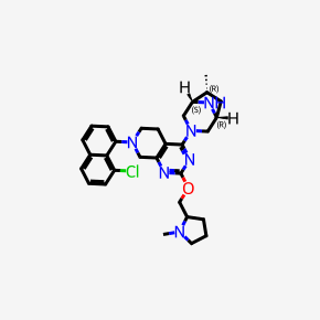 C[C@@H]1C[C@@H]2CN(c3nc(OCC4CCCN4C)nc4c3CCN(c3cccc5cccc(Cl)c35)C4)C[C@H]1N2